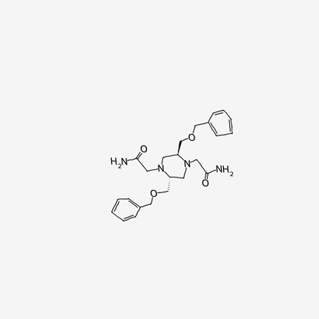 NC(=O)CN1C[C@H](COCc2ccccc2)N(CC(N)=O)C[C@H]1COCc1ccccc1